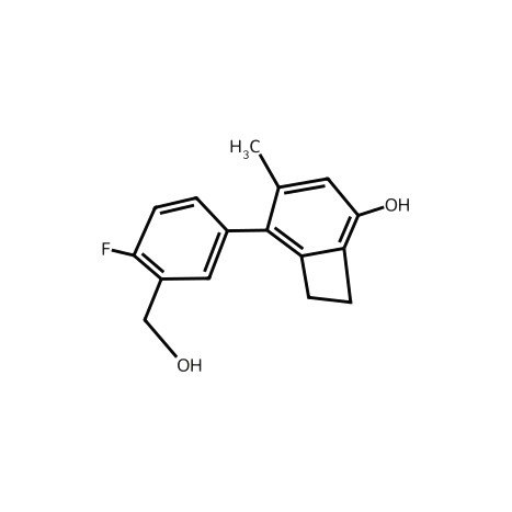 Cc1cc(O)c2c(c1-c1ccc(F)c(CO)c1)CC2